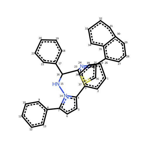 c1ccc(-c2ccc(-c3ccccc3)n2NC(c2ccccc2)c2nc(-c3cccc4ccccc34)cs2)cc1